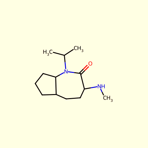 CNC1CCC2CCCC2N(C(C)C)C1=O